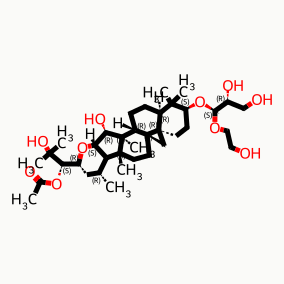 CC(=O)O[C@@H]([C@H]1C[C@@H](C)C2[C@H](O1)[C@H](O)[C@@]1(C)[C@@H]3CC[C@H]4C(C)(C)[C@@H](O[C@H](OCCO)[C@H](O)CO)CC[C@@]45C[C@@]35CC[C@]21C)C(C)(C)O